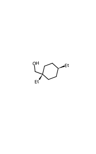 CC[C@H]1CC[C@](CC)(CO)CC1